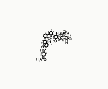 COc1nc(-c2cccc(-c3cccc(-c4ccn5c(=O)c(CNC6CCN(C(C)=O)CC6)cnc5c4)c3Cl)c2Cl)ccc1CN(C[C@@H]1CCC(=O)N1)C(=O)OC(C)(C)C